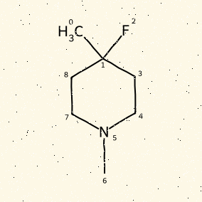 CC1(F)CCN(I)CC1